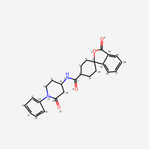 O=C1OC2(CCC(C(=O)NC3CCN(c4ccccc4)C(=O)C3)CC2)c2ccccc21